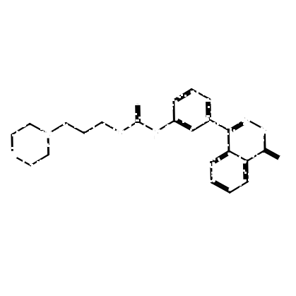 Cl.O=c1[nH]nc(-c2cccc(NC(=S)NCCCN3CCOCC3)c2)c2ccccc12